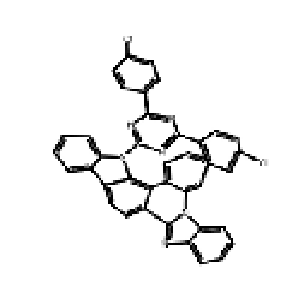 Clc1ccc(-c2nc(-c3ccc(Cl)cc3)nc(-n3c4ccccc4c4ccc5c(c6ccccc6n6c7ccccc7nc56)c43)n2)cc1